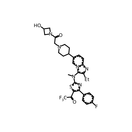 CCc1nc2ccc(C3CCN(CC(=O)N4CC(O)C4)CC3)cn2c1N(C)c1nc(-c2ccc(F)cc2)c(C(=O)C(F)(F)F)s1